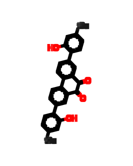 CC(C)(C)c1ccc(-c2ccc3c(c2)C(=O)C(=O)c2cc(-c4ccc(C(C)(C)C)cc4O)ccc2-3)c(O)c1